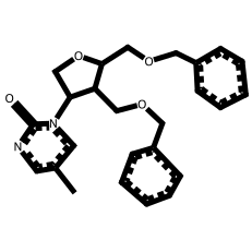 Cc1cnc(=O)n(C2COC(COCc3ccccc3)C2COCc2ccccc2)c1